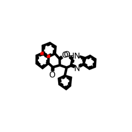 O=C(c1ccccc1)C(C(=O)c1ccccc1)C(c1ccccc1)c1nc2ccccc2[nH]c1=O